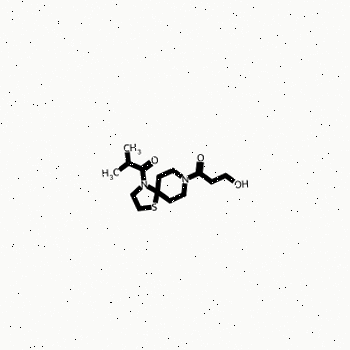 CC(C)C(=O)N1CCSC12CCN(C(=O)CCO)CC2